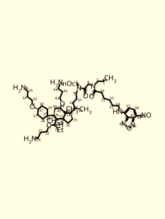 C=CCN(CC(=O)N(CCCCCCCC)CCC[C@@H](C)[C@H]1CC[C@H]2C([C@@H](CC)OCCCN)[C@@H]([C@]3(C)CC[C@H](OCCCN)CC3)C[C@H](OCCCN)[C@]12C)C(=O)CCCCCNc1ccc(N=O)c2nonc12